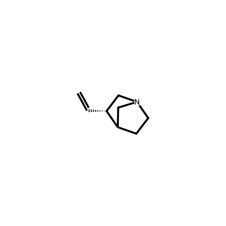 C=C[C@@H]1CN2CCC1C2